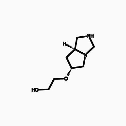 OCCO[C@@H]1C[C@H]2CNCN2C1